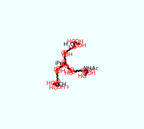 CC(=O)N[C@H]1C(O)[C@@H](O)C(CO)O[C@H]1OCCCCCCOP(=O)(O)OCCCOCC(COCCCOP(=O)(O)OCCCCCCO[C@@H]1OC(CO)[C@H](O)C(O)[C@@H]1C)(COCCCOP(=O)(O)OCCCCCCO[C@@H]1OC(CO)[C@H](O)C(O)[C@@H]1C)COC(C)C